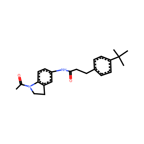 CC(=O)N1CCc2cc(NC(=O)CCc3ccc(C(C)(C)C)cc3)ccc21